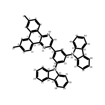 Cc1ccc2c(c1)c1cc(C)ccc1c1nc(-c3cc(-n4c5ccccc5c5ccccc54)cc(-n4c5ccccc5c5ccccc54)c3)cnc21